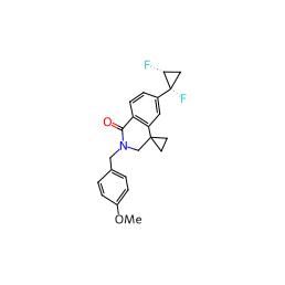 COc1ccc(CN2CC3(CC3)c3cc([C@]4(F)C[C@H]4F)ccc3C2=O)cc1